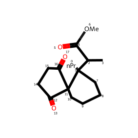 CCCC1(C(C)C(=O)OC)CCCCC12C(=O)CCC2=O